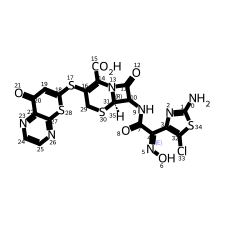 Nc1nc(/C(=N\O)C(=O)NC2C(=O)N3C(C(=O)O)=C(Sc4cc(=O)c5nccnc5s4)CS[C@H]23)c(Cl)s1